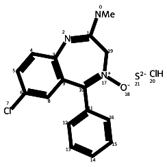 CNC1=Nc2ccc(Cl)cc2C(c2ccccc2)=[N+]([O-])C1.Cl.[S-2]